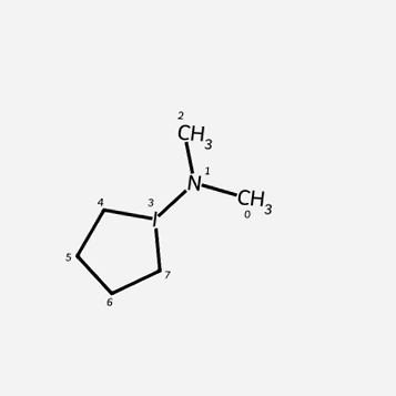 CN(C)I1CCCC1